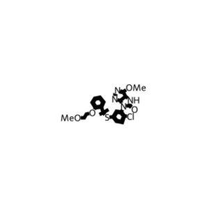 COCCOc1ccccc1C(C)(C)Sc1ccc(Cl)c(N2C(=O)NC3C(OC)=NC=NC32)c1